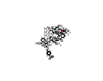 CC(C)[C@@H](COC[C@@H](NC(=O)OCc1ccc([N+](=O)[O-])cc1)C(=O)N1CCCC[C@H]1C(=O)O)N(C)C(=O)CN(C)C(=O)CNC(=O)[C@@H]1CCCCN1C(=O)[C@@H](CNC(=O)[C@H](C(C)C)N(C)C(=O)CN(C)C(=O)CN)NC(=O)OC(C)(C)C